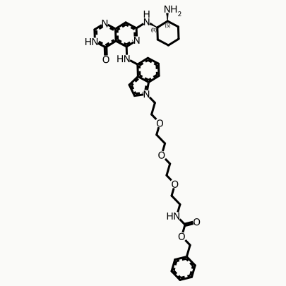 N[C@H]1CCCC[C@H]1Nc1cc2nc[nH]c(=O)c2c(Nc2cccc3c2ccn3CCOCCOCCOCCNC(=O)OCc2ccccc2)n1